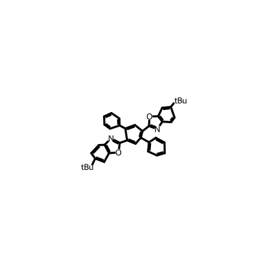 CC(C)(C)c1ccc2nc(-c3cc(-c4ccccc4)c(-c4nc5ccc(C(C)(C)C)cc5o4)cc3-c3ccccc3)oc2c1